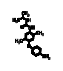 Cc1cc(Oc2ccc(N)cc2)c(C)cc1NC(=O)NC(C)C